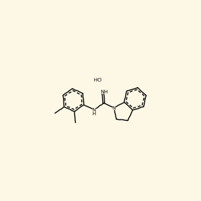 Cc1cccc(NC(=N)N2CCc3ccccc32)c1C.Cl